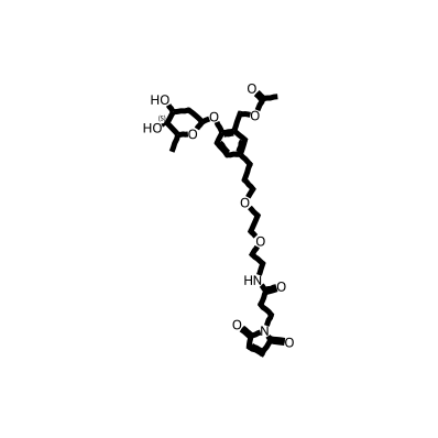 CC(=O)OCc1cc(CCCOCCOCCNC(=O)CCN2C(=O)C=CC2=O)ccc1OC1CC(O)[C@H](O)C(C)O1